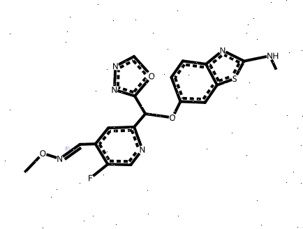 CNc1nc2ccc(OC(c3cc(/C=N/OC)c(F)cn3)c3nnco3)cc2s1